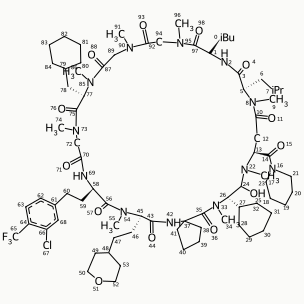 CC[C@H](C)C1NC(=O)[C@H](CC(C)C)N(C)C(=O)C[C@@H](C(=O)N2CCCCC2)N(C)C(O)[C@H](C2CCCCC2)N(C)C(=O)C2(CCCC2)NC(=O)[C@H](CCC2CCOCC2)N(C)C(=O)[C@@H](CCc2ccc(C(F)(F)F)c(Cl)c2)NC(=O)CN(C)C(=O)[C@H](CC2CCCCC2)N(C)C(=O)CN(C)C(=O)CN(C)C1=O